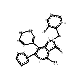 Nc1nc(-c2ccccc2)c(C2=CNNC=C2)c2nn(Cc3ncccc3F)c(=O)n12